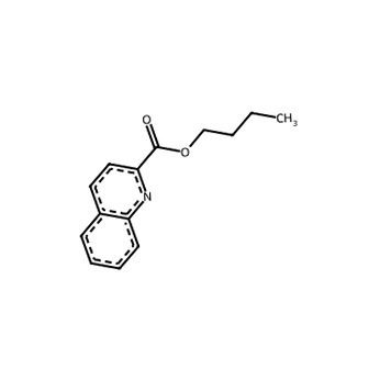 CCCCOC(=O)c1ccc2ccccc2n1